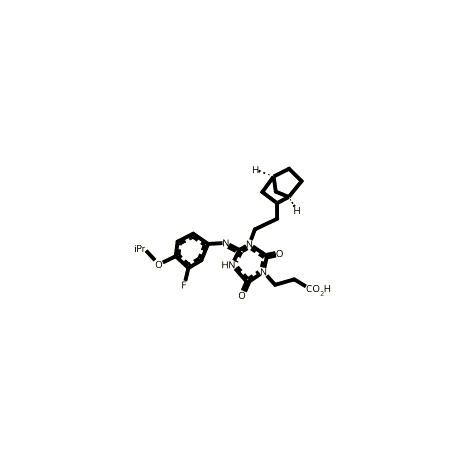 CC(C)Oc1ccc(/N=c2\[nH]c(=O)n(CCC(=O)O)c(=O)n2CCC2C[C@H]3CC[C@@H]2C3)cc1F